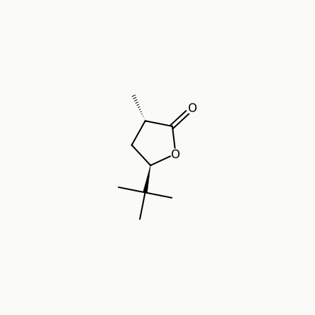 C[C@H]1C[C@H](C(C)(C)C)OC1=O